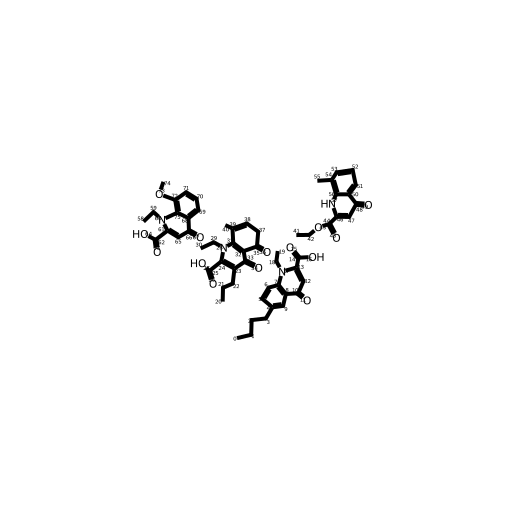 CCCCc1ccc2c(c1)c(=O)cc(C(=O)O)n2CC.CCCc1c(C(=O)O)n(CC)c2c(c1=O)C(=O)CC=C2C.CCOC(=O)c1cc(=O)c2cccc(C)c2[nH]1.CCn1c(C(=O)O)cc(=O)c2cccc(OC)c21